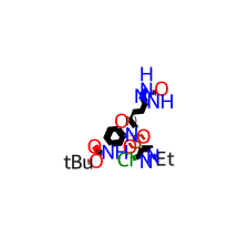 CCn1cc(S(=O)(=O)N2C[C@H](CCc3n[nH]c(=O)[nH]3)Oc3ccc(NC(=O)OC(C)(C)C)cc32)c(Cl)n1